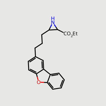 CCOC(=O)C1NC1CCCc1ccc2oc3ccccc3c2c1